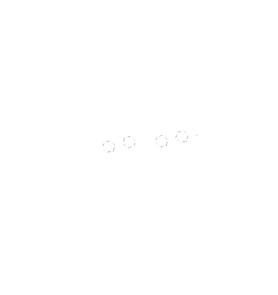 C=Cc1ccc(-c2ccc(COc3ccc(-c4ccc(OCC)cc4F)cc3)c(F)c2F)cc1